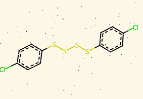 Clc1ccc(SSSSc2ccc(Cl)cc2)cc1